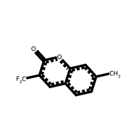 Cc1ccc2cc(C(F)(F)F)c(=O)oc2c1